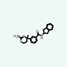 CC1(c2cccc(C(=O)NC3Cc4ccccc4C3)c2)CCSC(N)=N1